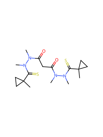 CN(C(=O)CC(=O)N(C)N(C)C(=S)C1(C)CC1)N(C)C(=S)C1(C)CC1